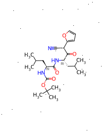 CC(C)C[C@H](NC(=O)OC(C)(C)C)C(=O)N[C@@H](CC(C)C)C(=O)C(C#N)c1ccco1